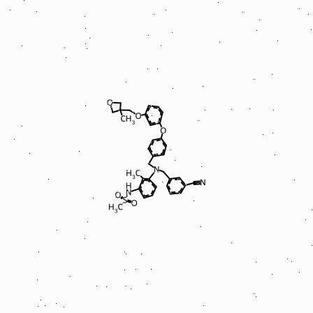 Cc1c(NS(C)(=O)=O)cccc1N(Cc1ccc(Oc2cccc(OCC3(C)COC3)c2)cc1)Cc1cccc(C#N)c1